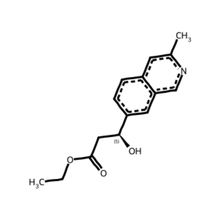 CCOC(=O)C[C@H](O)c1ccc2cc(C)ncc2c1